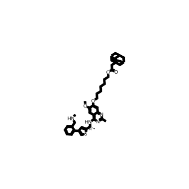 CNCc1ccccc1-c1csc([C@@H](C)Nc2nc(C)nc3cc(OCCCCCCCOC(=O)CC45CC6CC(CC(C6)C4)C5)c(OC)cc23)c1